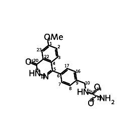 COc1ccc2c(-c3ccc(CNS(N)(=O)=O)cc3)n[nH]c(=O)c2c1